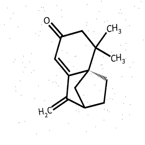 C=C1C2=CC(=O)CC(C)(C)[C@]23CCC1C3